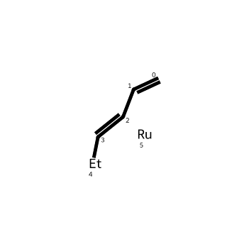 C=CC=CCC.[Ru]